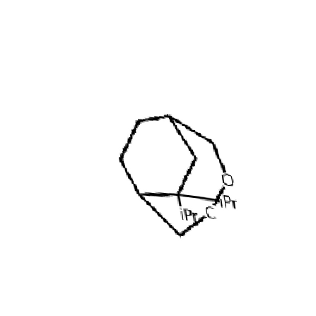 CC(C)C1(C(C)C)CC2CCC1CCOC2